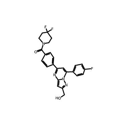 O=C(c1ccc(-c2cc(-c3ccc(F)cc3)n3nc(CO)cc3n2)cc1)N1CCC(F)(F)CC1